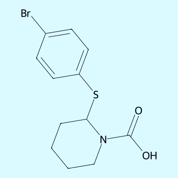 O=C(O)N1CCCCC1Sc1ccc(Br)cc1